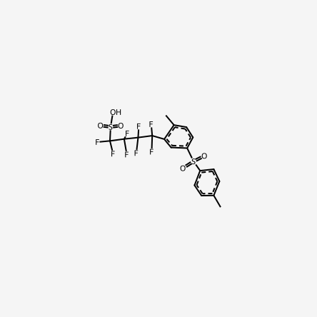 Cc1ccc(S(=O)(=O)c2ccc(C)c(C(F)(F)C(F)(F)C(F)(F)C(F)(F)S(=O)(=O)O)c2)cc1